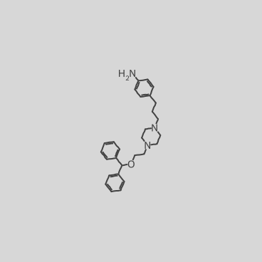 Nc1ccc(CCCN2CCN(CCOC(c3ccccc3)c3ccccc3)CC2)cc1